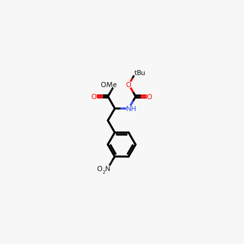 COC(=O)C(Cc1cccc([N+](=O)[O-])c1)NC(=O)OC(C)(C)C